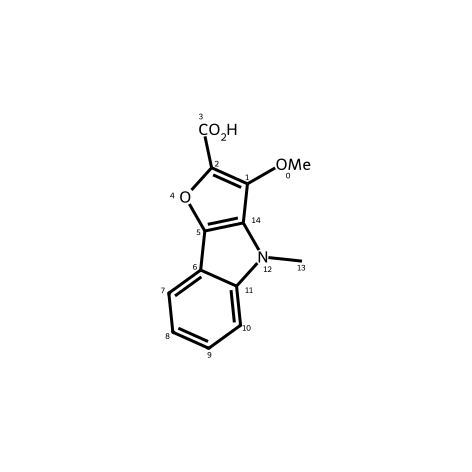 COc1c(C(=O)O)oc2c3ccccc3n(C)c12